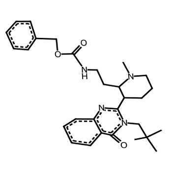 CN1CCCC(c2nc3ccccc3c(=O)n2CC(C)(C)C)C1CCNC(=O)OCc1ccccc1